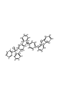 O=P1(c2ccccc2)c2ccccc2-c2cc3c(cc21)c1ccccc1n3-c1ccc(-c2cccc3c2oc2ccccc23)cc1